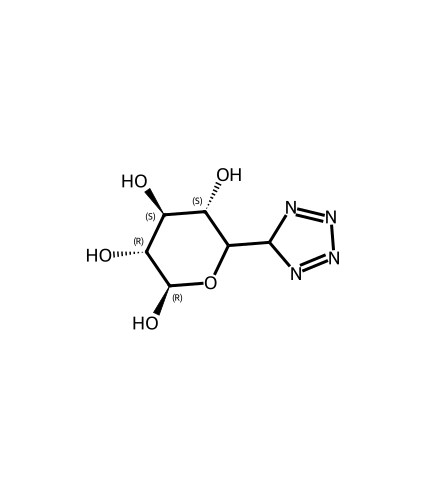 O[C@@H]1[C@@H](O)[C@H](O)C(C2N=NN=N2)O[C@H]1O